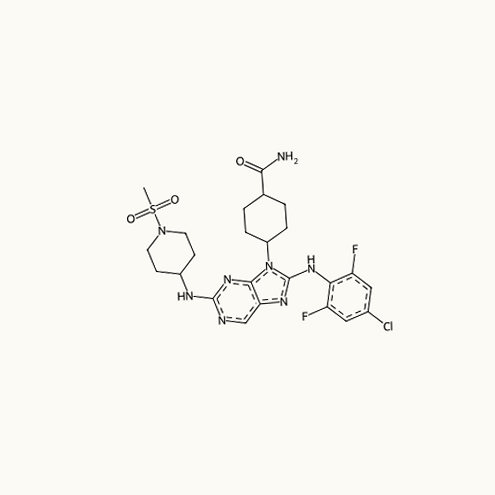 CS(=O)(=O)N1CCC(Nc2ncc3nc(Nc4c(F)cc(Cl)cc4F)n(C4CCC(C(N)=O)CC4)c3n2)CC1